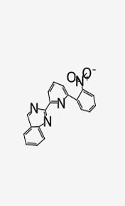 O=[N+]([O-])c1ccccc1-c1cccc(-c2ncc3ccccc3n2)n1